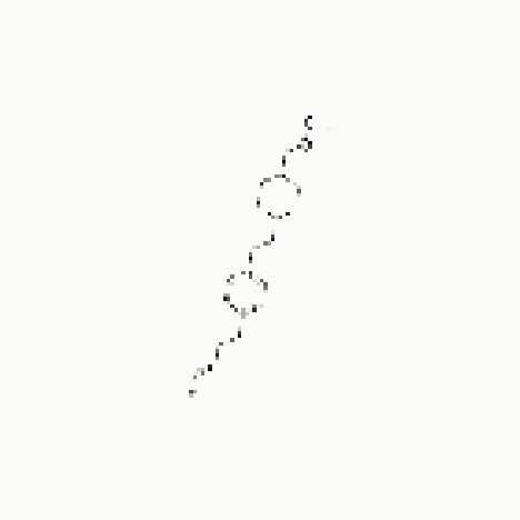 COCC1CCC(CCc2ccc(CCC=CF)cc2)CC1